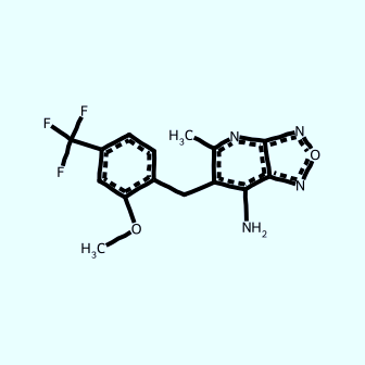 COc1cc(C(F)(F)F)ccc1Cc1c(C)nc2nonc2c1N